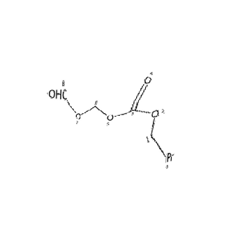 CC(C)COC(=O)OCO[C]=O